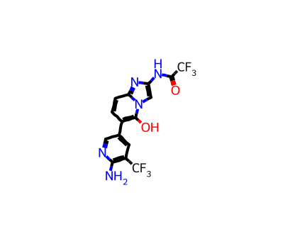 Nc1ncc(-c2ccc3nc(NC(=O)C(F)(F)F)cn3c2O)cc1C(F)(F)F